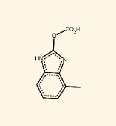 Cc1cccc2[nH]c(OC(=O)O)nc12